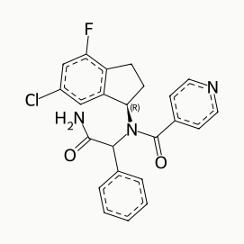 NC(=O)C(c1ccccc1)N(C(=O)c1ccncc1)[C@@H]1CCc2c(F)cc(Cl)cc21